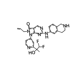 C=CCn1c(=O)c2cnc(Nc3ccc4c(c3)CCNC4)nc2n1-c1ccnc(C(C)(O)C(F)F)c1